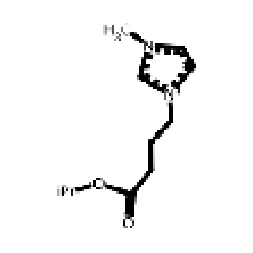 CC(C)OC(=O)CCC[n+]1ccn(C)c1